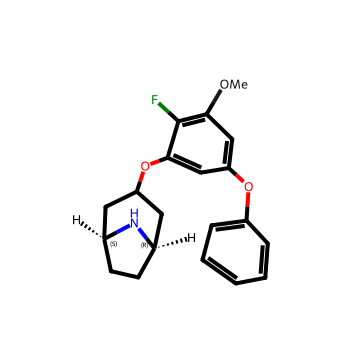 COc1cc(Oc2ccccc2)cc(OC2C[C@H]3CC[C@@H](C2)N3)c1F